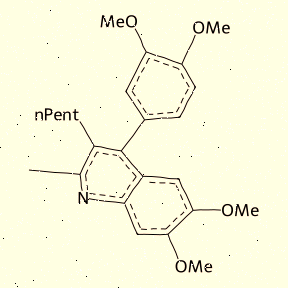 CCCCCc1c(C)nc2cc(OC)c(OC)cc2c1-c1ccc(OC)c(OC)c1